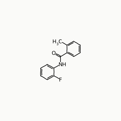 Cc1ccccc1C(=O)Nc1ccccc1F